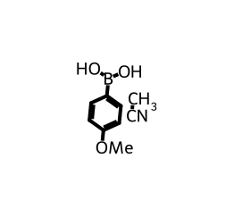 CC#N.COc1ccc(B(O)O)cc1